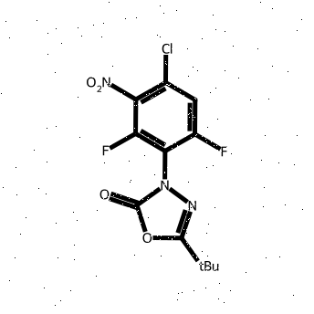 CC(C)(C)c1nn(-c2c(F)cc(Cl)c([N+](=O)[O-])c2F)c(=O)o1